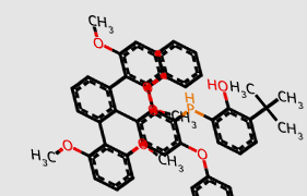 COc1cccc(OC)c1-c1cccc(-c2c(OC)cccc2OC)c1-c1ccc(Oc2ccccc2)c(Pc2cccc(C(C)(C)C)c2O)c1Oc1ccccc1